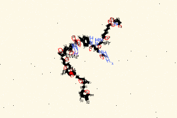 C=C1CC(CC[C@]23C[C@H]4OC5(O2)C2[C@@H](O[C@H]6CCC(CC(=O)C[C@H]7COC(CC(O)CNC(=O)OCc8ccc(NC(=O)C(CCCNC(N)=O)NC(=O)[C@@H](NC(=O)CCCCCC(=O)ON9C(=O)CCC9=O)C(C)C)cc8)[C@@H]7OC)O[C@@H]6[C@@H]2O3)C45)O[C@H]1CC[C@H]1C[C@@H](C)C(=C)[C@@H](C)O1